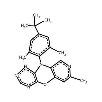 Cc1cc2c(cn1)N(c1c(C)cc(C(C)(C)C)cc1C)c1nncnc1O2